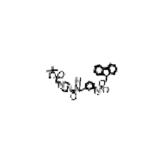 CN(C(=O)OCC1c2ccccc2-c2ccccc21)c1cccc(CNC(=O)N2CCN(CC(=O)OC(C)(C)C)CC2)c1